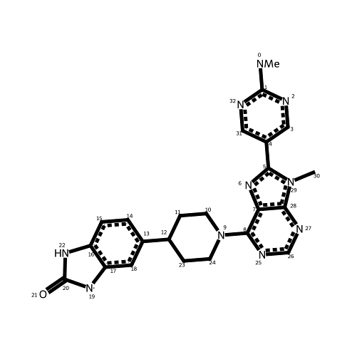 CNc1ncc(-c2nc3c(N4CCC(c5ccc6c(c5)[N]C(=O)N6)CC4)ncnc3n2C)cn1